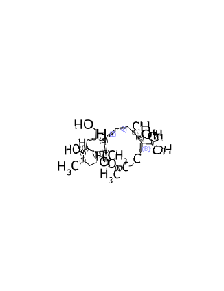 C[C@@H]1CCC/C=C(/C(=O)O)[C@H](O)[C@@H](C)/C=C\C=C/[C@H]2C(CO)=C[C@H]3[C@H](O)[C@@H](C)CC[C@@H]3[C@@]2(C)C(=O)O1